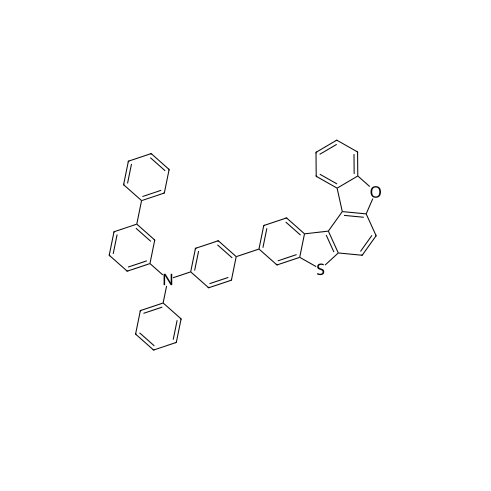 c1ccc(-c2cccc(N(c3ccccc3)c3ccc(-c4ccc5c(c4)sc4ccc6oc7ccccc7c6c45)cc3)c2)cc1